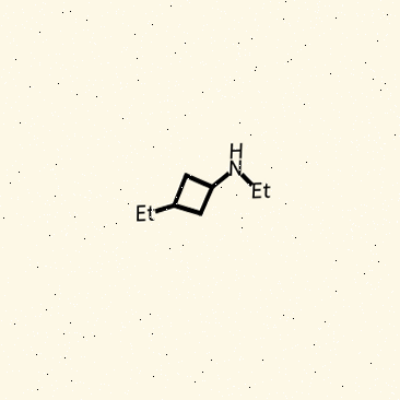 CCNC1CC(CC)C1